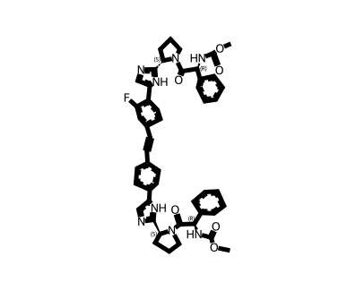 COC(=O)N[C@@H](C(=O)N1CCC[C@H]1c1ncc(-c2ccc(C#Cc3ccc(-c4cnc([C@@H]5CCCN5C(=O)[C@H](NC(=O)OC)c5ccccc5)[nH]4)c(F)c3)cc2)[nH]1)c1ccccc1